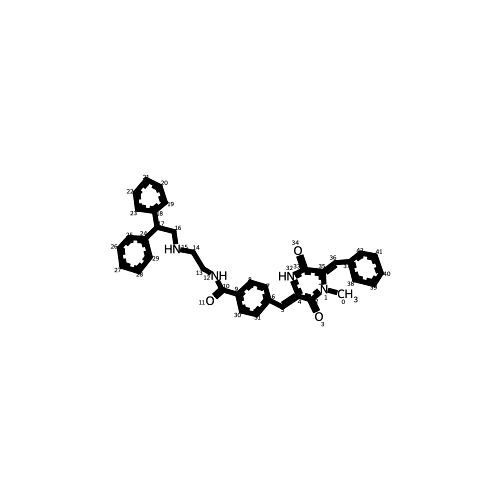 Cn1c(=O)/c(=C/c2ccc(C(=O)NCCNCC(c3ccccc3)c3ccccc3)cc2)[nH]c(=O)/c1=C/c1ccccc1